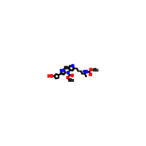 C[C@@H](CCCCc1cc(N(C(=O)OC(C)(C)C)c2cc([C@H]3CC[C@@H](O)C3)nn2C(C)(C)C)ccn1)NC(=O)OC(C)(C)C